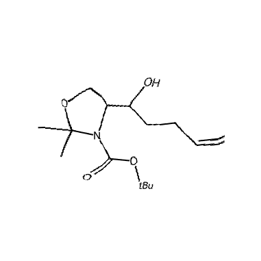 C=CCCC(O)C1COC(C)(C)N1C(=O)OC(C)(C)C